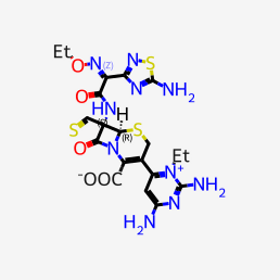 CCO/N=C(\C(=O)N[C@@]1(C=S)C(=O)N2C(C(=O)[O-])=C(c3cc(N)nc(N)[n+]3CC)CS[C@@H]21)c1nsc(N)n1